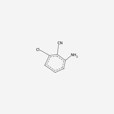 N#Cc1c(N)[c]ccc1Cl